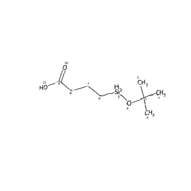 CC(C)(C)O[SiH2]CCCC(=O)O